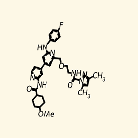 COC1CCC(C(=O)Nc2cc(-c3cc(COCCNC(=O)n4nc(C)cc4C)nc(Nc4ccc(F)cc4)c3)ccn2)CC1